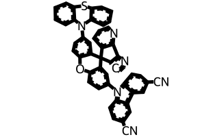 N#Cc1ccc2c(c1)c1cc(C#N)ccc1n2-c1ccc2c(c1)C1(c3cc(N4c5ccccc5Sc5ccccc54)ccc3O2)c2cccnc2-c2ncccc21